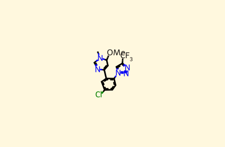 COC1C=C(c2cc(Cl)ccc2-n2cc(C(F)(F)F)nn2)N=CN1C